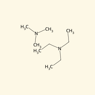 CCN(CC)CC.CN(C)C